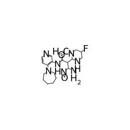 CN1CC(F)CNC1C(C(=O)Nc1cnccc1N1CCCCCC1)C(N)N=O